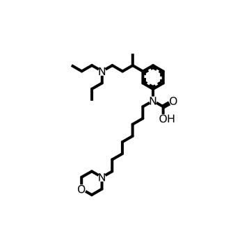 CCCN(CCC)CCC(C)c1cccc(N(CCCCCCCCN2CCOCC2)C(=O)O)c1